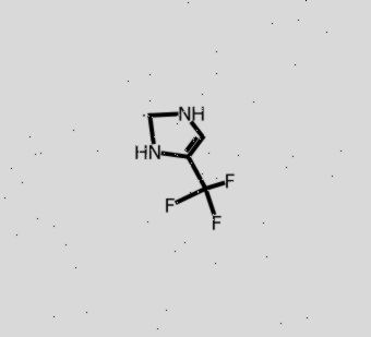 FC(F)(F)C1=CN[CH]N1